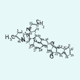 Cc1ccc(N(c2ccc(C)cn2)c2ccc3ccc4c(C=C5C(=O)c6cc7ccccc7cc6C5=O)ccc5ccc2c3c54)nc1